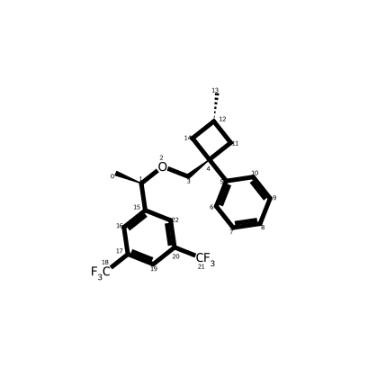 C[C@@H](OC[C@]1(c2ccccc2)C[C@@H](C)C1)c1cc(C(F)(F)F)cc(C(F)(F)F)c1